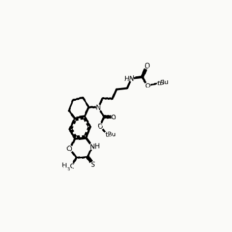 CC1Oc2cc3c(cc2NC1=S)C(N(CCCCNC(=O)OC(C)(C)C)C(=O)OC(C)(C)C)CCC3